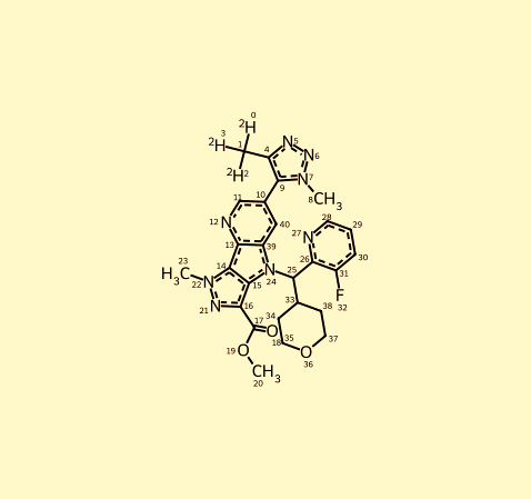 [2H]C([2H])([2H])c1nnn(C)c1-c1cnc2c3c(c(C(=O)OC)nn3C)n(C(c3ncccc3F)C3CCOCC3)c2c1